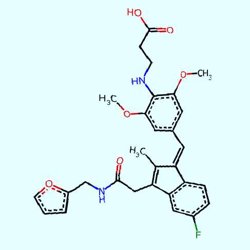 COc1cc(C=C2C(C)=C(CC(=O)NCc3ccco3)c3cc(F)ccc32)cc(OC)c1NCCC(=O)O